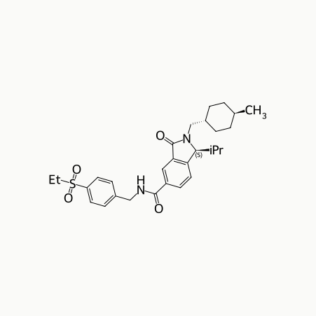 CCS(=O)(=O)c1ccc(CNC(=O)c2ccc3c(c2)C(=O)N(C[C@H]2CC[C@H](C)CC2)[C@H]3C(C)C)cc1